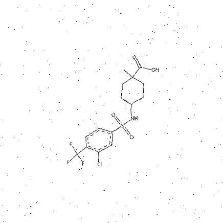 CC1(C(=O)O)CCC(NS(=O)(=O)c2ccc(C(F)(F)F)c(Cl)c2)CC1